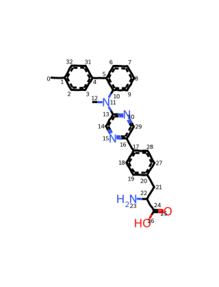 Cc1ccc(-c2ccccc2N(C)c2cnc(-c3ccc(CC(N)C(=O)O)cc3)cn2)cc1